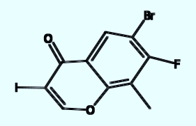 Cc1c(F)c(Br)cc2c(=O)c(I)coc12